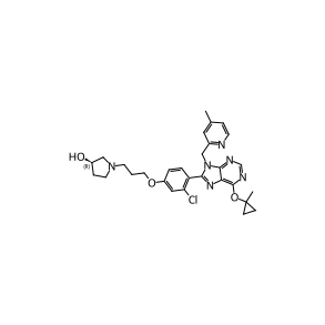 Cc1ccnc(Cn2c(-c3ccc(OCCCN4CC[C@@H](O)C4)cc3Cl)nc3c(OC4(C)CC4)ncnc32)c1